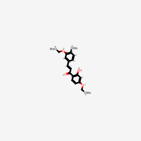 COCOc1ccc(C(=O)/C=C/c2ccc(OC)c(OCOC)c2)c(O)c1